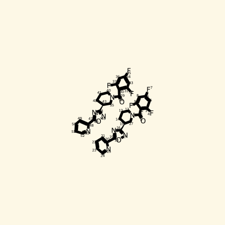 O=C(c1c(F)cc(F)cc1F)N1CCC[C@H](c2noc(-c3ccccn3)n2)C1.O=C(c1c(F)cc(F)cc1F)N1CCC[C@H](c2noc(-c3ccccn3)n2)C1